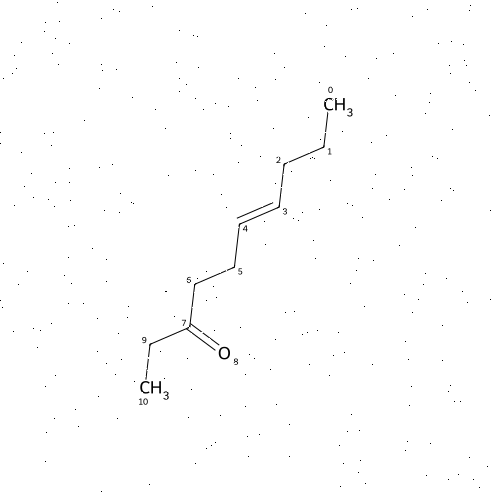 CCCC=CCCC(=O)CC